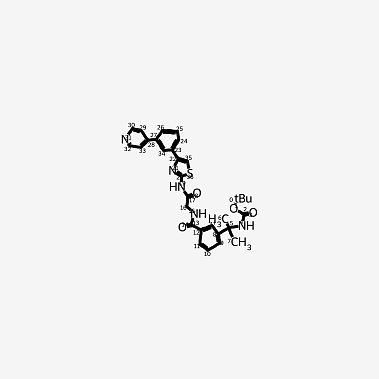 CC(C)(C)OC(=O)NC(C)(C)c1cccc(C(=O)NCC(=O)Nc2nc(-c3cccc(-c4ccncc4)c3)cs2)c1